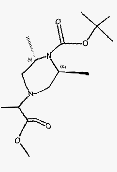 COC(=O)C(C)N1C[C@H](C)N(C(=O)OC(C)(C)C)[C@@H](C)C1